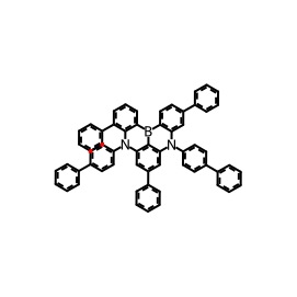 c1ccc(-c2ccc(N3c4cc(-c5ccccc5)ccc4B4c5cccc(-c6ccccc6)c5N(c5ccc(-c6ccccc6)cc5)c5cc(-c6ccccc6)cc3c54)cc2)cc1